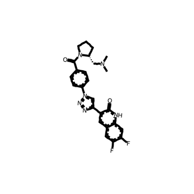 CN(C)C[C@H]1CCCN1C(=O)c1ccc(-n2cc(-c3cc4cc(F)c(F)cc4[nH]c3=O)nn2)cc1